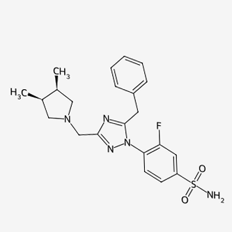 C[C@@H]1CN(Cc2nc(Cc3ccccc3)n(-c3ccc(S(N)(=O)=O)cc3F)n2)C[C@@H]1C